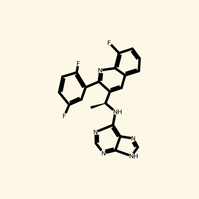 C[C@H](Nc1ncnc2[nH]cnc12)c1cc2cccc(F)c2nc1-c1cc(F)ccc1F